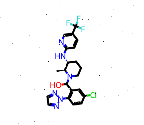 C[C@H]1[C@H](Nc2ccc(C(F)(F)F)cn2)CCCN1C(O)c1cc(Cl)ccc1-n1nccn1